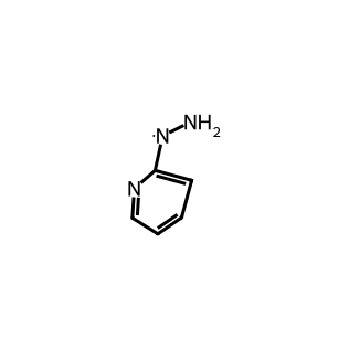 N[N]c1ccccn1